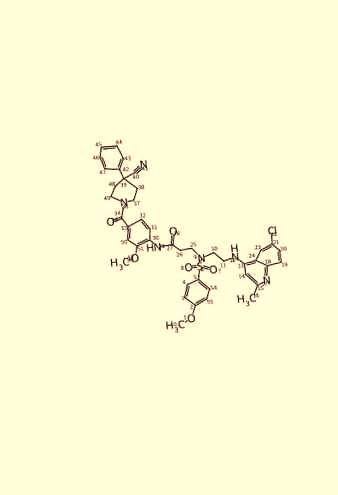 COc1ccc(S(=O)(=O)N(CCNc2cc(C)nc3ccc(Cl)cc23)CCC(=O)Nc2ccc(C(=O)N3CCC(C#N)(c4ccccc4)CC3)cc2OC)cc1